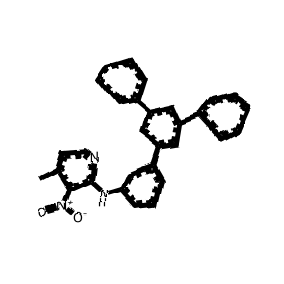 Cc1ccnc(Nc2cccc(-c3cc(-c4ccccc4)cc(-c4ccccc4)c3)c2)c1[N+](=O)[O-]